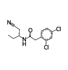 CCC(CC#N)NC(=O)Cc1ccc(Cl)cc1Cl